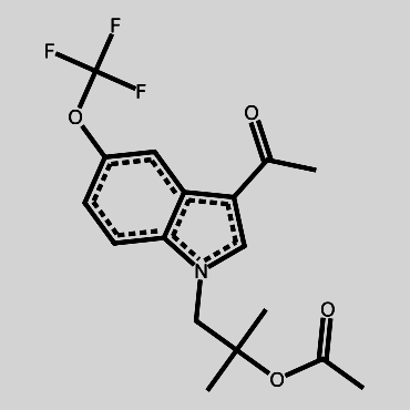 CC(=O)OC(C)(C)Cn1cc(C(C)=O)c2cc(OC(F)(F)F)ccc21